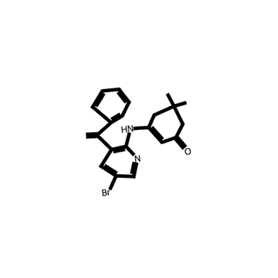 C=C(c1ccccc1)c1cc(Br)cnc1NC1=CC(=O)CC(C)(C)C1